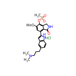 COc1cc(-c2cc3cc(CCCN(C)C)ccc3[nH]2)c2c(c1OS(C)(=O)=O)CNC2=O.Cl